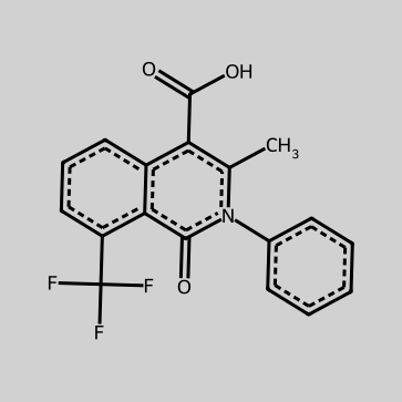 Cc1c(C(=O)O)c2cccc(C(F)(F)F)c2c(=O)n1-c1ccccc1